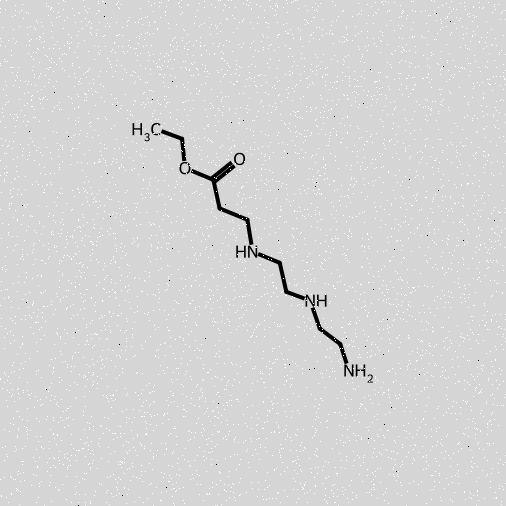 CCOC(=O)CCNCCNCCN